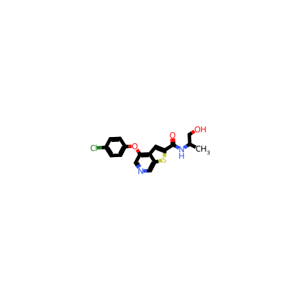 CC(CO)NC(=O)c1cc2c(Oc3ccc(Cl)cc3)cncc2s1